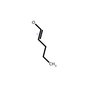 CCC/C=C/[O]